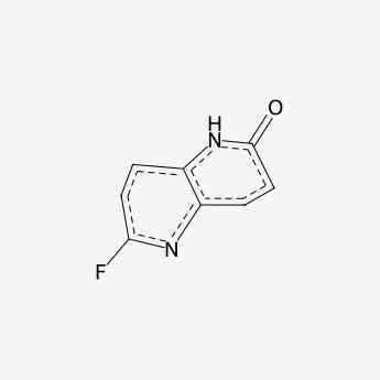 O=c1ccc2nc(F)ccc2[nH]1